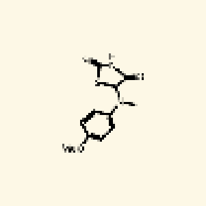 COc1ccc(N(C)C2SC(=O)NC2=O)cc1